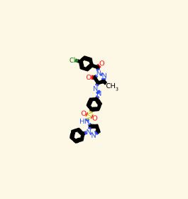 CC1=NN(C(=O)c2ccc(Cl)cc2)C(=O)C1/N=N/c1ccc(S(=O)(=O)Nc2ccnn2-c2ccccc2)cc1